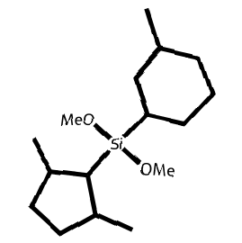 CO[Si](OC)(C1CCCC(C)C1)C1C(C)CCC1C